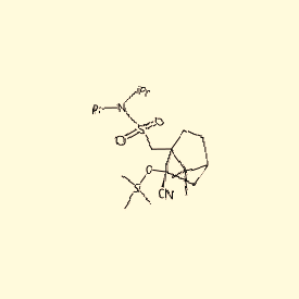 CC(C)N(C(C)C)S(=O)(=O)CC12CCC(C[C@]1(C#N)O[Si](C)(C)C)C2(C)C